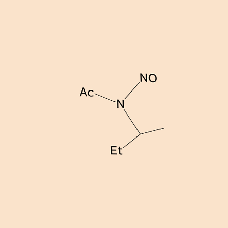 CCC(C)N(N=O)C(C)=O